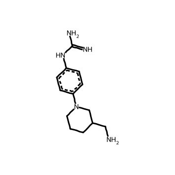 N=C(N)Nc1ccc(N2CCCC(CN)C2)cc1